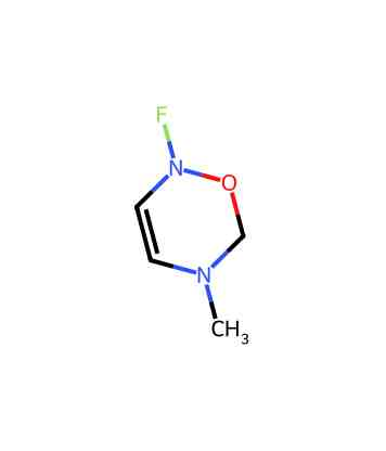 CN1C=CN(F)OC1